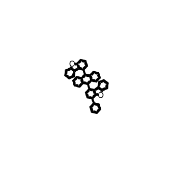 c1ccc(-c2ccc(-c3c4ccccc4c(-c4cccc5oc6ccccc6c45)c4ccccc34)c3c2oc2ccccc23)cc1